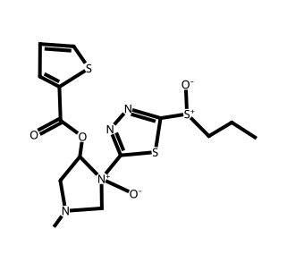 CCC[S+]([O-])c1nnc([N+]2([O-])CN(C)CC2OC(=O)c2cccs2)s1